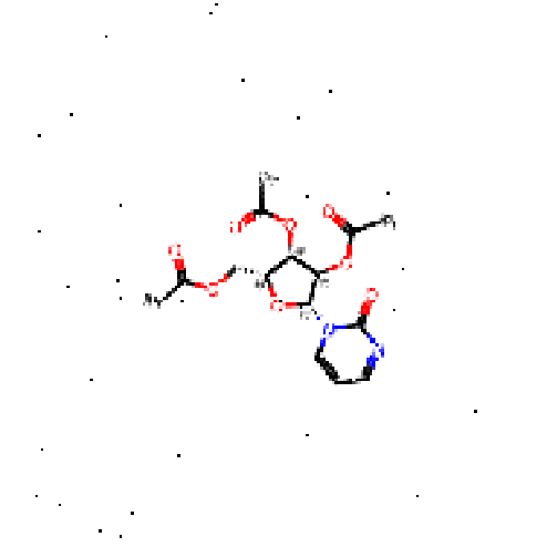 CC(C)C(=O)OC[C@H]1O[C@@H](n2cccnc2=O)[C@H](OC(=O)C(C)C)[C@@H]1OC(=O)C(C)C